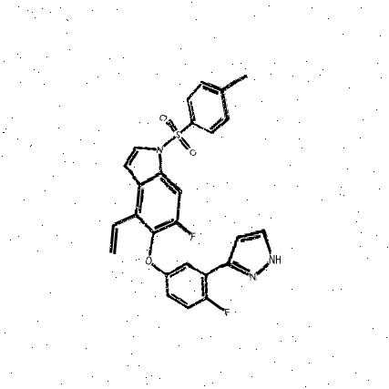 C=Cc1c(Oc2ccc(F)c(-c3cc[nH]n3)c2)c(F)cc2c1ccn2S(=O)(=O)c1ccc(C)cc1